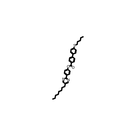 CCCCCCCCc1cnc(-c2ccc(OC(=O)c3ccc(-c4ccc(SCCCCC)cc4)cc3)cc2)nc1